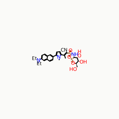 CCN(CC)c1ccc2cc(-c3ccc(/C(C)=C(\C#N)S(=O)(=O)N[C@H]4SO[C@H](CO)[C@@H](O)[C@@H]4O)n3C)ccc2c1